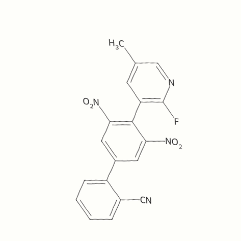 Cc1cnc(F)c(-c2c([N+](=O)[O-])cc(-c3ccccc3C#N)cc2[N+](=O)[O-])c1